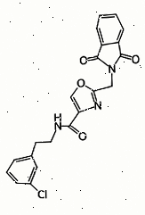 O=C(NCCc1cccc(Cl)c1)c1coc(CN2C(=O)c3ccccc3C2=O)n1